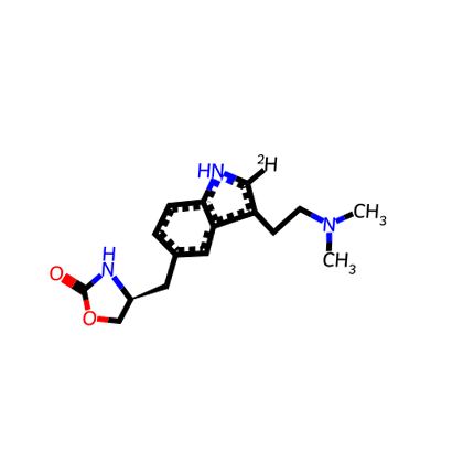 [2H]c1[nH]c2ccc(C[C@H]3COC(=O)N3)cc2c1CCN(C)C